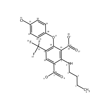 CCCCNc1c([N+](=O)[O-])cc(C(F)(F)F)c(Oc2ccc(Cl)cc2)c1[N+](=O)[O-]